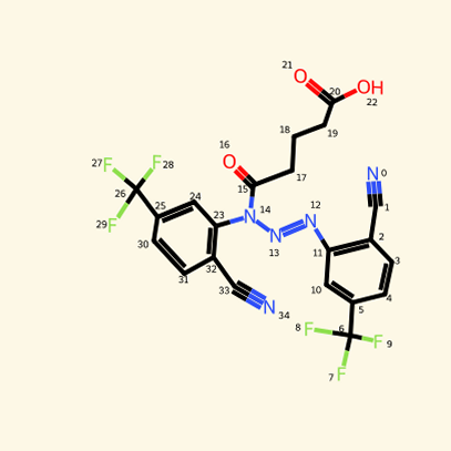 N#Cc1ccc(C(F)(F)F)cc1N=NN(C(=O)CCCC(=O)O)c1cc(C(F)(F)F)ccc1C#N